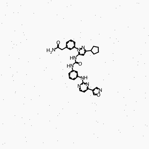 NC(=O)Cc1cccc(-n2nc(C3CCCC3)cc2NC(=O)Nc2cccc(Nc3nccc(-c4cnoc4)n3)c2)c1